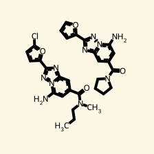 CCCN(C)C(=O)c1cc(N)n2nc(-c3ccc(Cl)o3)nc2c1.Nc1cc(C(=O)N2CCCC2)cc2nc(-c3ccco3)nn12